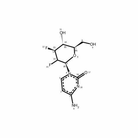 Nc1ccn([C@@H]2O[C@H](CO)[C@@H](O)[C@H](F)C2F)c(=O)n1